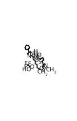 CC(=O)CCCCC[C@H](NS(=O)(=O)c1ccc(-c2csc(C)n2)s1)c1ncc(-c2ccccc2)[nH]1.O=C(O)C(F)(F)F